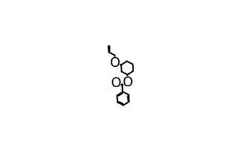 C=CCOC1CCCC(OC(=O)c2ccccc2)C1